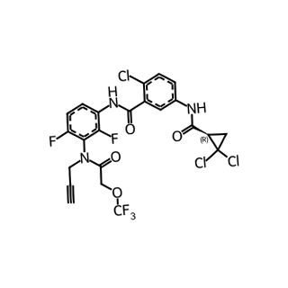 C#CCN(C(=O)COC(F)(F)F)c1c(F)ccc(NC(=O)c2cc(NC(=O)[C@H]3CC3(Cl)Cl)ccc2Cl)c1F